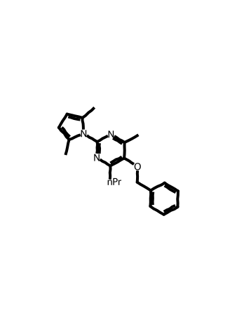 CCCc1nc(-n2c(C)ccc2C)nc(C)c1OCc1ccccc1